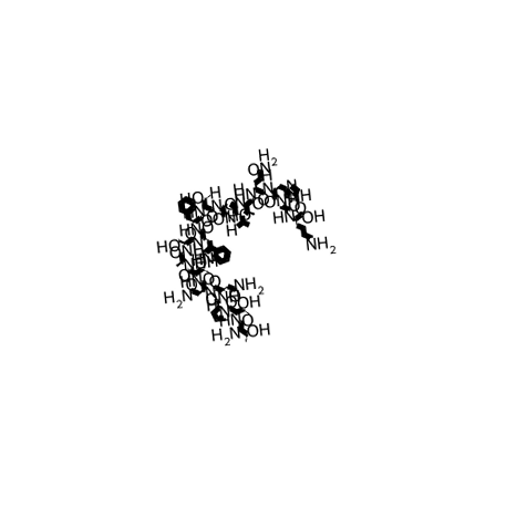 CC(C)C[C@H](NC(=O)[C@H](C)NC(=O)[C@@H](NC(=O)[C@H](Cc1ccccc1)NC(=O)[C@H](Cc1c[nH]c2ccccc12)NC(=O)[C@H](CO)NC(=O)[C@H](C)NC(=O)[C@@H](NC(=O)[C@H](CC(N)=O)NC(=O)[C@H](CC(N)=O)NC(=O)[C@@H]1CCCN1C(=O)[C@@H](NC(=O)[C@@H](N)[C@@H](C)O)[C@@H](C)O)[C@@H](C)O)[C@@H](C)O)C(=O)N[C@H](C(=O)N[C@@H](CCC(N)=O)C(=O)N[C@@H](Cc1c[nH]cn1)C(=O)NCC(=O)N[C@@H](CCCCN)C(=O)O)[C@@H](C)O